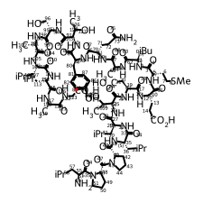 CC[C@H](C)[C@H](NC(=O)[C@H](CCSC)NC(=O)[C@H](CCC(=O)O)NC(=O)[C@H](CC(=O)O)NC(=O)[C@@H](NC(=O)[C@H](CC(C)C)NC(=O)[C@H](CC(C)C)NC(=O)[C@@H]1CCCN1C(=O)[C@@H]1CCCN1C(=O)[C@@H](N)CC(C)C)[C@@H](C)O)C(=O)N[C@@H](C)C(=O)N[C@@H](CCC(N)=O)C(=O)N[C@@H](Cc1ccc(O)cc1)C(=O)N[C@H](C(=O)N[C@@H](CO)C(=O)N[C@@H](C)C(=O)N[C@@H](CC(C)C)C(=O)N[C@@H](CC(C)C)C(=O)N[C@@H](C)C(=O)NCC(=O)O)[C@@H](C)O